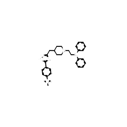 CS(=O)(=O)c1ccc(-c2noc(CC3CCN(CCN(c4ccccc4)c4ccccc4)CC3)n2)cc1